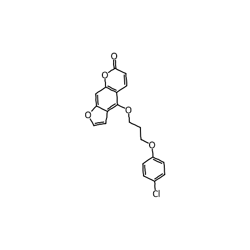 O=c1ccc2c(OCCCOc3ccc(Cl)cc3)c3ccoc3cc2o1